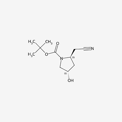 CC(C)(C)OC(=O)N1C[C@@H](O)C[C@@H]1CC#N